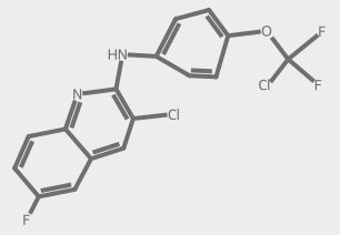 Fc1ccc2nc(Nc3ccc(OC(F)(F)Cl)cc3)c(Cl)cc2c1